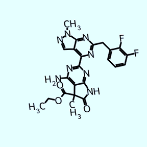 CCOC(=O)C1(C)C(=O)Nc2nc(-c3nc(Cc4cccc(F)c4F)nc4c3cnn4C)nc(N)c21